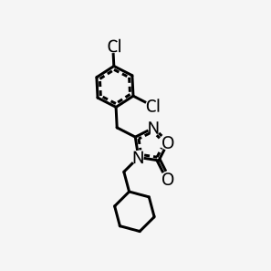 O=c1onc(Cc2ccc(Cl)cc2Cl)n1CC1CCCCC1